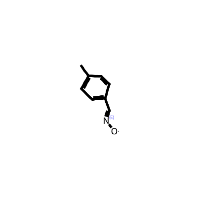 Cc1ccc(/C=N/[O])cc1